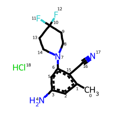 Cc1cc(N)cc(N2CCC(F)(F)CC2)c1C#N.Cl